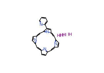 C1=CC2=NC1=CC1=NC(=CC3=NC(=CC4=NC(=C2)C=C4)C=C3c2ccccn2)C=C1.I.I.I.I